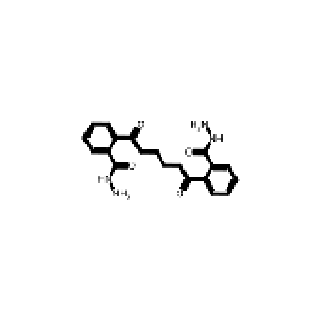 NNC(=O)c1ccccc1C(=O)CCCCC(=O)c1ccccc1C(=O)NN